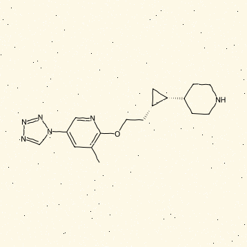 Cc1cc(-n2cnnn2)cnc1OCC[C@@H]1C[C@@H]1C1CCNCC1